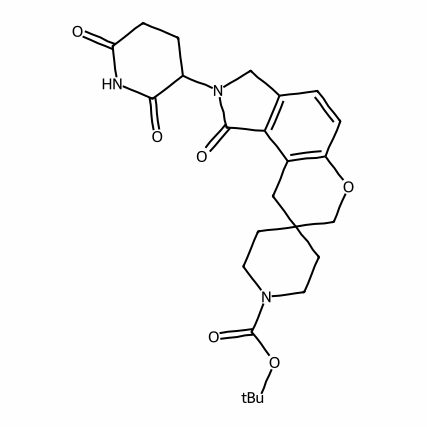 CC(C)(C)OC(=O)N1CCC2(CC1)COc1ccc3c(c1C2)C(=O)N(C1CCC(=O)NC1=O)C3